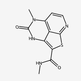 CNC(=O)c1sc2nccc3c2c1NC(=O)N3C